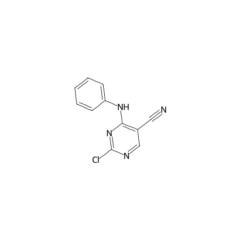 N#Cc1cnc(Cl)nc1Nc1ccccc1